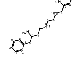 NC(CCNCCNCc1ccccn1)Cc1ccccn1